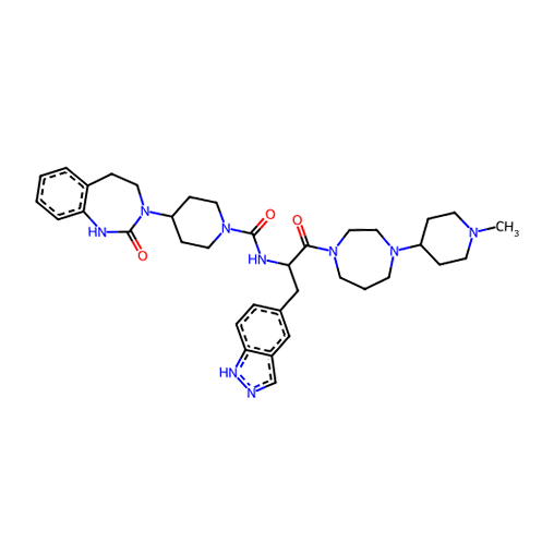 CN1CCC(N2CCCN(C(=O)C(Cc3ccc4[nH]ncc4c3)NC(=O)N3CCC(N4CCc5ccccc5NC4=O)CC3)CC2)CC1